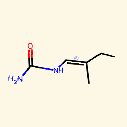 CC/C(C)=C/NC(N)=O